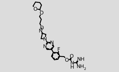 N=C(N)NC(=O)OCc1cccc(-c2cnc(N3CC(=NOCCCOC4CCCCO4)C3)nc2)c1F